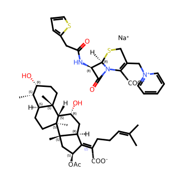 CC(=O)O[C@H]1C[C@@]2(C)[C@@H](C[C@@H](O)[C@H]3[C@@]4(C)CC[C@@H](O)[C@@H](C)[C@@H]4CC[C@@]32C)/C1=C(\CCC=C(C)C)C(=O)[O-].O=C(Cc1cccs1)N[C@@H]1C(=O)N2C(C(=O)[O-])=C(C[n+]3ccccc3)CS[C@H]12.[Na+]